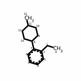 CCc1ccccc1C1CCC(C)CC1